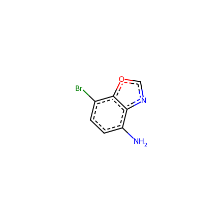 Nc1ccc(Br)c2ocnc12